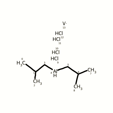 CC(C)[CH2][AlH][CH2]C(C)C.Cl.Cl.Cl.Cl.[V]